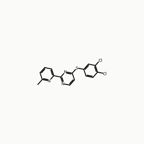 Cc1cccc(-c2nccc(Sc3ccc(Cl)c(Cl)c3)n2)n1